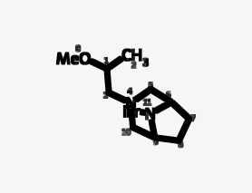 COC(C)CN1CC2CCC(C1)N2C(C)C